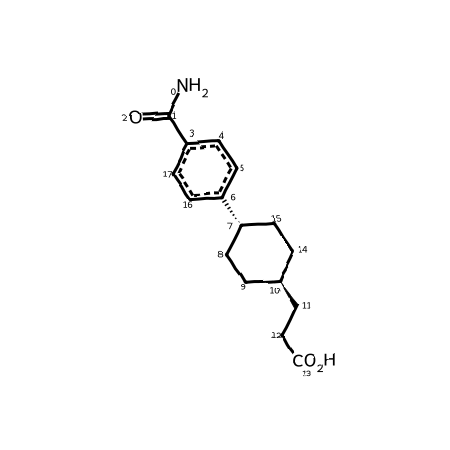 NC(=O)c1ccc([C@H]2CC[C@H](CCC(=O)O)CC2)cc1